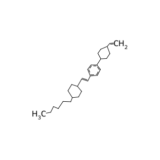 C=CC1CCC(c2ccc(C=CC3CCC(CCCCCC)CC3)cc2)CC1